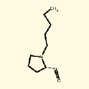 CCCCCN1CCC[C@H]1[C]=O